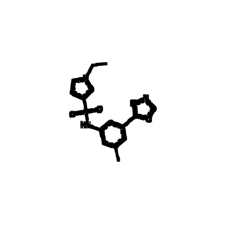 CCn1ccc(S(=O)(=O)Nc2cc(C)cc(-c3nnco3)c2)c1